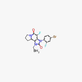 BCn1c(=O)n(-c2ccc(Br)cc2F)c2c(F)c(=O)n3c(c21)CCC3